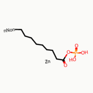 CCCCCCCCCCCCCCCCCC(=O)OP(=O)(O)O.[Zn]